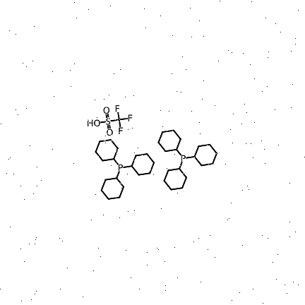 C1CCC(P(C2CCCCC2)C2CCCCC2)CC1.C1CCC(P(C2CCCCC2)C2CCCCC2)CC1.O=S(=O)(O)C(F)(F)F